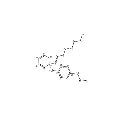 CCCCCCC=CC1(Oc2ccc(CCC)cc2)C=CC=CC1